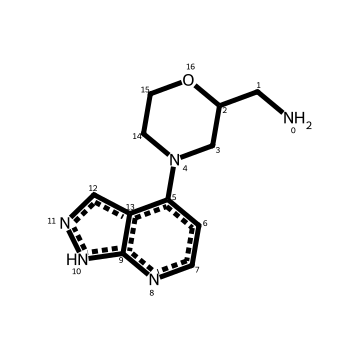 NCC1CN(c2ccnc3[nH]ncc23)CCO1